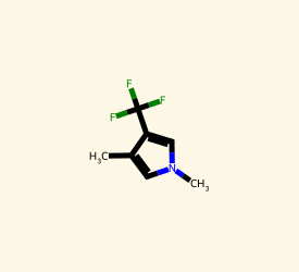 Cc1cn(C)cc1C(F)(F)F